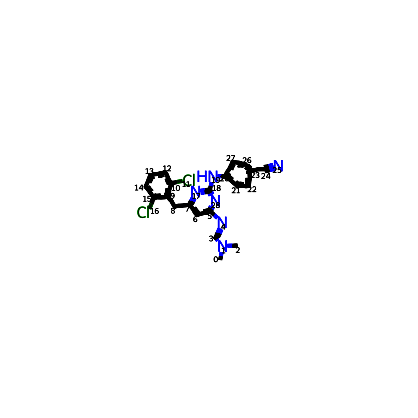 CN(C)C=Nc1cc(Cc2c(Cl)cccc2Cl)nc(Nc2ccc(C#N)cc2)n1